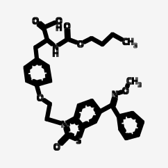 CCCCOC(=O)NC(Cc1ccc(OCCn2c(=O)sc3cc(C(=NOC)c4ccccc4)ccc32)cc1)C(=O)O